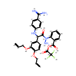 C=CCOc1ccc(C(Nc2ccc(C(=N)N)cc2)C(=O)N(N)c2ccccc2C(=O)OC(=O)C(F)(F)F)cc1OCC=C